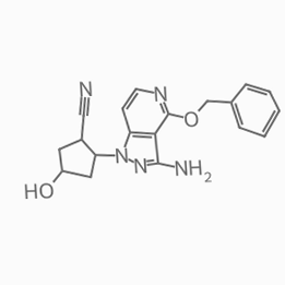 N#CC1CC(O)CC1n1nc(N)c2c(OCc3ccccc3)nccc21